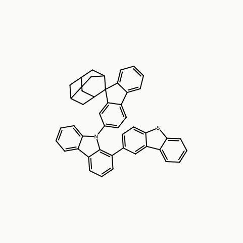 c1ccc2c(c1)-c1ccc(-n3c4ccccc4c4cccc(-c5ccc6sc7ccccc7c6c5)c43)cc1C21C2CC3CC(C2)CC1C3